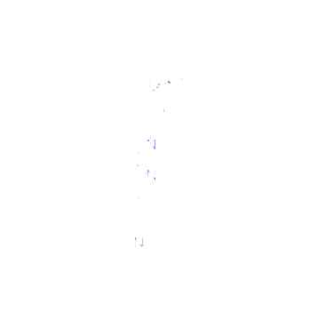 Cc1c(C)c(N2CCN(c3ccc(CN(C)C)cc3)CC2)c(C)c2c1OC(C)(C)C2